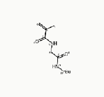 C=C(C)C(=O)NCC(=O)NCCCC